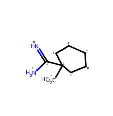 N=C(N)C1(C(=O)O)CCCCC1